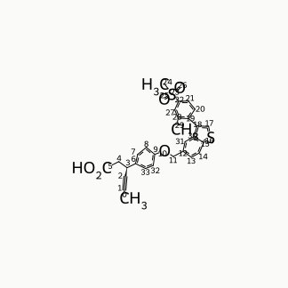 CC#C[C@@H](CC(=O)O)c1ccc(OCc2ccc3scc(-c4ccc(S(C)(=O)=O)cc4C)c3c2)cc1